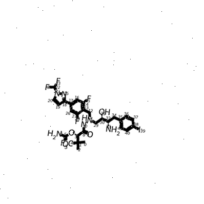 CC(C)([C@H](OC(N)=O)C(=O)NN(Cc1c(F)cc(-c2ccn(C(F)F)n2)cc1F)C[C@H](O)[C@@H](N)Cc1ccc(I)cc1)C(F)(F)F